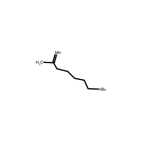 CCCCCCCCCC(C)=N